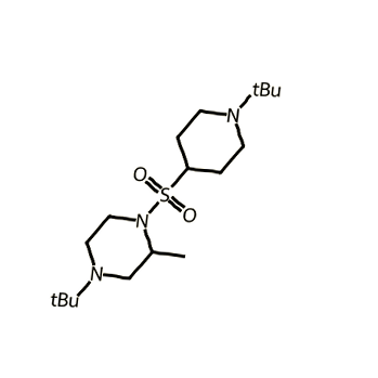 CC1CN(C(C)(C)C)CCN1S(=O)(=O)C1CCN(C(C)(C)C)CC1